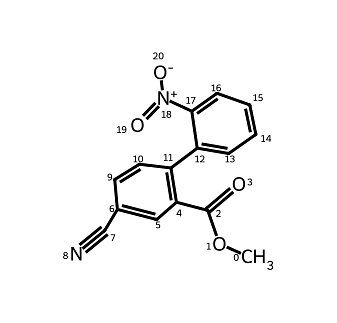 COC(=O)c1cc(C#N)ccc1-c1ccccc1[N+](=O)[O-]